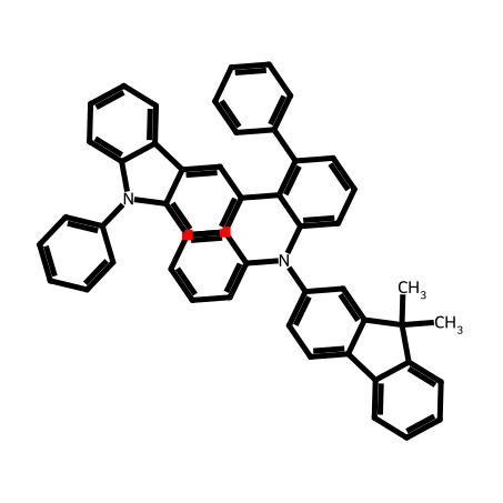 CC1(C)c2ccccc2-c2ccc(N(c3ccccc3)c3cccc(-c4ccccc4)c3-c3ccc4c(c3)c3ccccc3n4-c3ccccc3)cc21